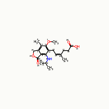 COc1c(C)c2c(c(NC(C)C)c1CC=C(C)CCC(=O)O)C(=O)OC2